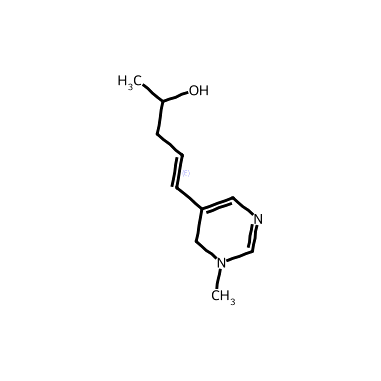 CC(O)C/C=C/C1=CN=CN(C)C1